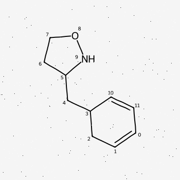 C1=CCC(CC2CCON2)C=C1